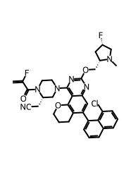 C=C(F)C(=O)N1CCN(c2nc(OC[C@@H]3C[C@H](F)CN3C)nc3cc(-c4cccc5cccc(Cl)c45)c4c(c23)OCCC4)C[C@@H]1CC#N